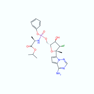 CC(C)OC(=O)[C@@H](C)NP(=O)(OC[C@H]1O[C@@](C)(c2ccc3c(N)ncnn23)[C@H](F)[C@@H]1O)Oc1ccccc1